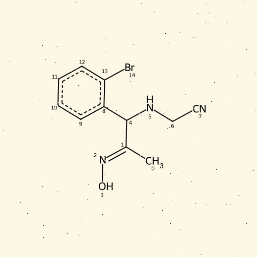 CC(=NO)C(NCC#N)c1ccccc1Br